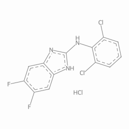 Cl.Fc1cc2nc(Nc3c(Cl)cccc3Cl)[nH]c2cc1F